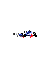 CCn1c(-c2nc3cc(C(=O)N4CCC[C@@H](N(C(=O)O)C(C)(C)C)C4)ccc3n2CCCNC(=O)OCC2c3ccccc3-c3ccccc32)cc2ccccc21